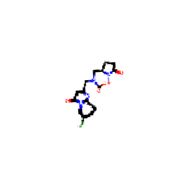 O=C1CCC(CN(Cc2cc(=O)n3cc(Br)ccc3n2)C(=O)O)N1